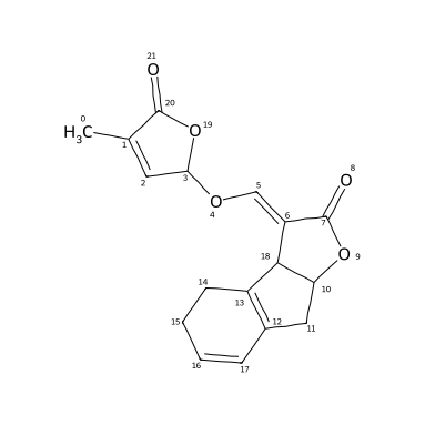 CC1=CC(O/C=C2/C(=O)OC3CC4=C(CCC=C4)C23)OC1=O